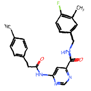 Cc1cc(CNC(=O)c2cc(NC(=O)Cc3ccc(C#N)cc3)ncn2)ccc1F